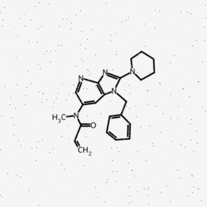 C=CC(=O)N(C)c1cnc2nc(N3CCCCC3)n(Cc3ccccc3)c2c1